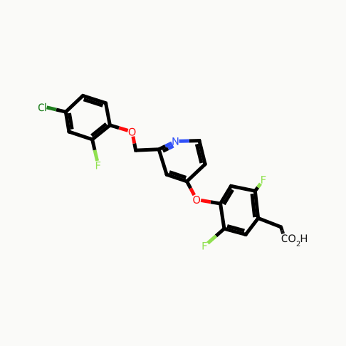 O=C(O)Cc1cc(F)c(Oc2ccnc(COc3ccc(Cl)cc3F)c2)cc1F